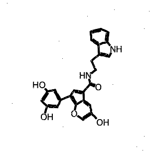 O=C(NCCc1c[nH]c2ccccc12)c1cc(-c2cc(O)cc(O)c2)c2occ(O)cc1-2